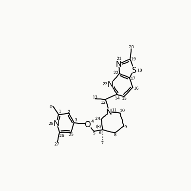 Cc1cc(OC[C@]2(C)CCCN(C(C)c3ccc4sc(C)nc4n3)C2)cc(C)n1